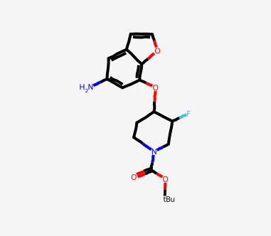 CC(C)(C)OC(=O)N1CCC(Oc2cc(N)cc3ccoc23)C(F)C1